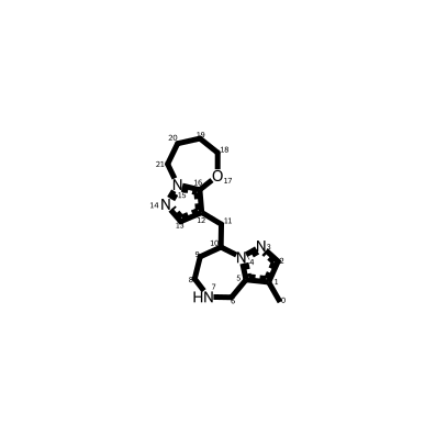 Cc1cnn2c1CNCCC2Cc1cnn2c1OCCCC2